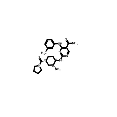 Cc1cccc(Nc2nc(N[C@@H]3CC[C@@H](C(=O)N4CCCC4)C[C@H]3N)ncc2C(N)=O)c1